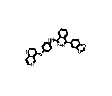 c1ccc2c(-c3ccc4c(c3)OCO4)nnc(Nc3ccc(Sc4ccnc5ccncc45)cc3)c2c1